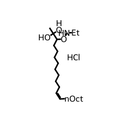 CCCCCCCC/C=C\CCCCCCCCC(ONCC)C(C)(O)O.Cl